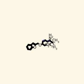 CCC(/C=C\C=C(/N)C(C)(C)C)OCc1cc2ccccc2o1